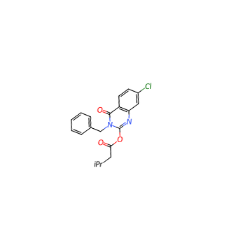 CC(C)CC(=O)Oc1nc2cc(Cl)ccc2c(=O)n1Cc1ccccc1